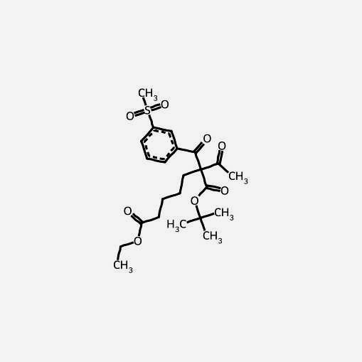 CCOC(=O)CCCCC(C(C)=O)(C(=O)OC(C)(C)C)C(=O)c1cccc(S(C)(=O)=O)c1